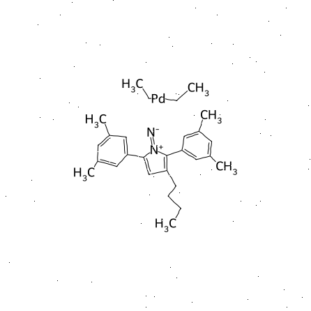 CCCCC1=C(c2cc(C)cc(C)c2)[N+](=[N-])C(c2cc(C)cc(C)c2)=C1.C[CH2][Pd][CH2]C